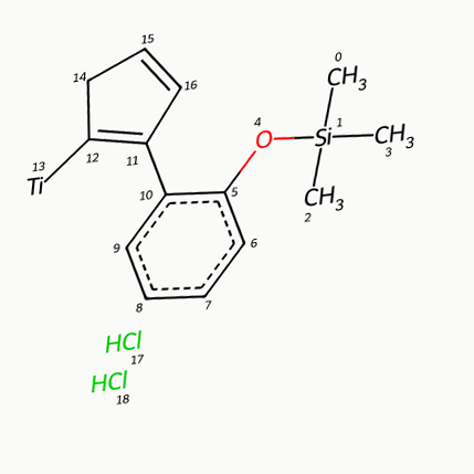 C[Si](C)(C)Oc1ccccc1C1=[C]([Ti])CC=C1.Cl.Cl